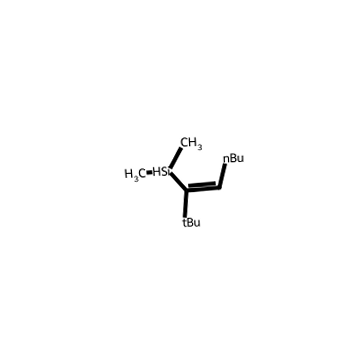 CCCCC=C([SiH](C)C)C(C)(C)C